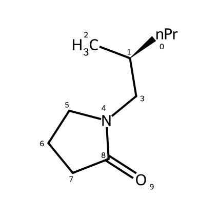 CCC[C@H](C)CN1CCCC1=O